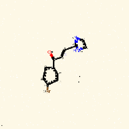 O=C(/C=C/c1ncc[nH]1)c1ccc(Br)cc1